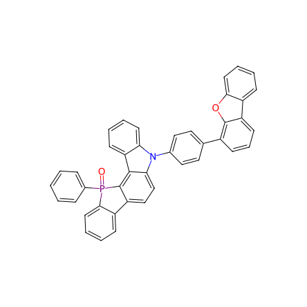 O=P1(c2ccccc2)c2ccccc2-c2ccc3c(c21)c1ccccc1n3-c1ccc(-c2cccc3c2oc2ccccc23)cc1